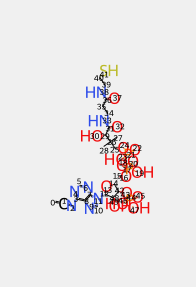 C=C=Nc1ncnc2c1ncn2[C@@H]1O[C@H](COP(=O)(O)OP(=O)(O)OCC(C)(C)C(O)C(=O)NCCC(=O)NCCS)[C@@H](OP(=O)(O)O)[C@H]1O